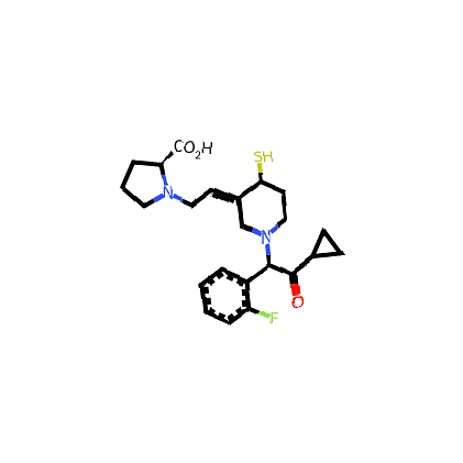 O=C(C1CC1)C(c1ccccc1F)N1CCC(S)/C(=C/CN2CCC[C@H]2C(=O)O)C1